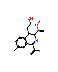 C=C(C)C1=NC(C(=C)OC)C(CCO)c2ccc(C)cc21